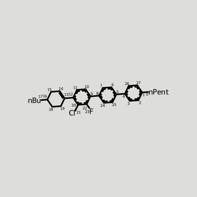 CCCCCc1ccc(-c2ccc(-c3ccc(C4=CCC(CCCC)CC4)c(Cl)c3F)cc2)cc1